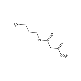 C=C(CC(=O)NCCC[SiH3])C(=O)O